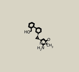 Cn1c(N)nc([C@H]2C[C@H]2c2cccc(-c3ccccc3CO)c2)cc1=O